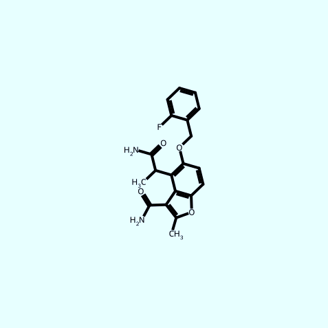 Cc1oc2ccc(OCc3ccccc3F)c(C(C)C(N)=O)c2c1C(N)=O